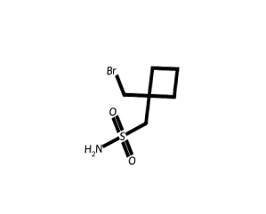 NS(=O)(=O)CC1(CBr)CCC1